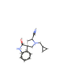 N#C[C@@H]1C[C@@]2(CN1CC1CC1)C(=O)Nc1ccccc12